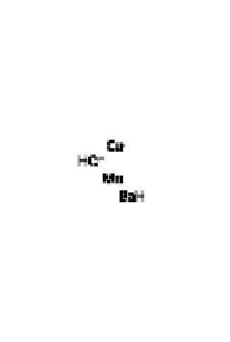 [BaH+].[Cu].[Mn].[OH-]